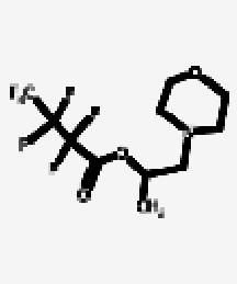 CC(CN1CCOCC1)OC(=O)C(F)(F)C(F)(F)C(F)(F)F